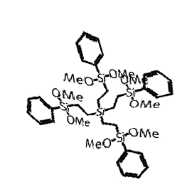 CO[Si](CC[Si](CC[Si](OC)(OC)c1ccccc1)(CC[Si](OC)(OC)c1ccccc1)CC[Si](OC)(OC)c1ccccc1)(OC)c1ccccc1